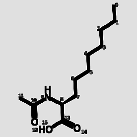 CCCCCCCC[C@H](NC(C)=O)C(=O)O